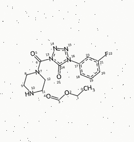 CCOC=O.O=C(N1CCNCC1)n1nnn(-c2cccc(F)c2)c1=O